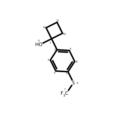 OC1(c2ccc(SC(F)(F)F)cc2)CCC1